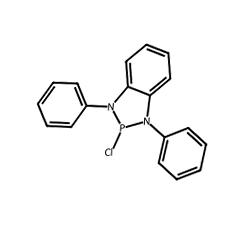 ClP1N(c2ccccc2)c2ccccc2N1c1ccccc1